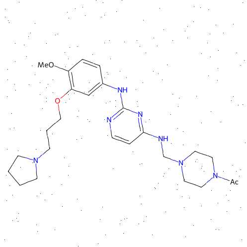 COc1ccc(Nc2nccc(NCN3CCN(C(C)=O)CC3)n2)cc1OCCCN1CCCC1